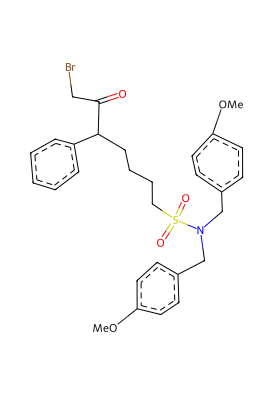 COc1ccc(CN(Cc2ccc(OC)cc2)S(=O)(=O)CCCCC(C(=O)CBr)c2ccccc2)cc1